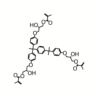 C=C(C)C(=O)OCC(O)COc1ccc(C(C)(C)c2ccc(C(C)(c3ccc(OCC(O)COC(=O)C(=C)C)cc3)c3ccc(OCC(O)COC(=O)C(=C)C)cc3)cc2)cc1